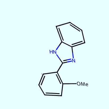 COc1ccc[c]c1-c1nc2ccccc2[nH]1